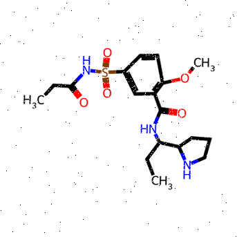 CCC(=O)NS(=O)(=O)c1ccc(OC)c(C(=O)NC(CC)C2CCCN2)c1